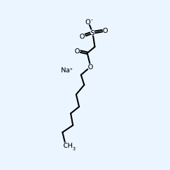 CCCCCCCCOC(=O)CS(=O)(=O)[O-].[Na+]